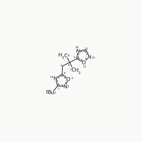 CC(C)(C)c1noc(CC(C)(C)c2ncno2)n1